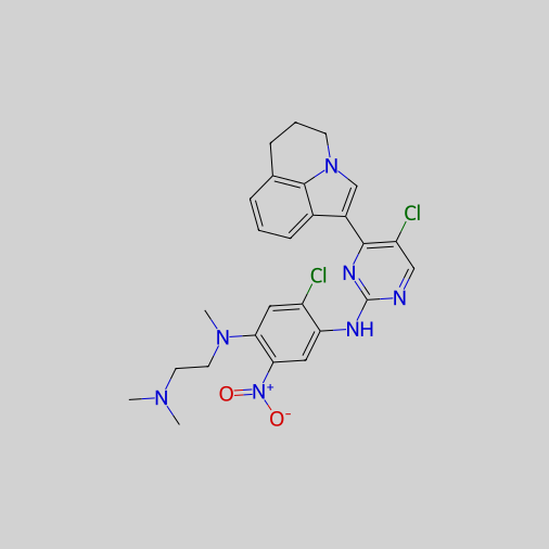 CN(C)CCN(C)c1cc(Cl)c(Nc2ncc(Cl)c(-c3cn4c5c(cccc35)CCC4)n2)cc1[N+](=O)[O-]